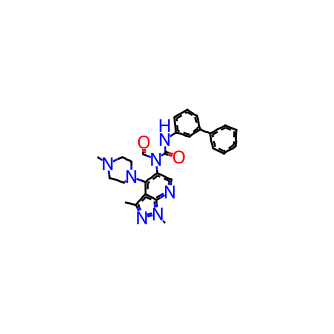 Cc1nn(C)c2ncc(N(C=O)C(=O)Nc3cccc(-c4ccccc4)c3)c(N3CCN(C)CC3)c12